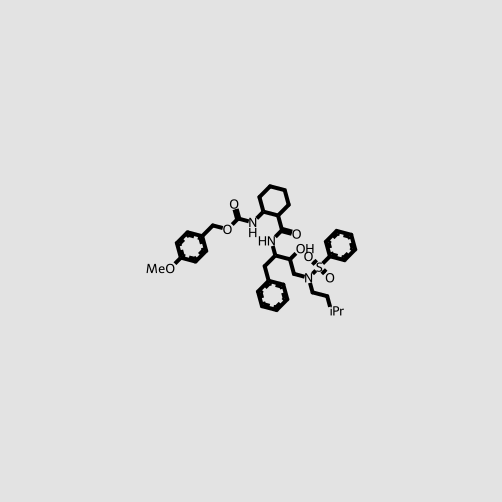 COc1ccc(COC(=O)NC2CCCCC2C(=O)NC(Cc2ccccc2)C(O)CN(CCC(C)C)S(=O)(=O)c2ccccc2)cc1